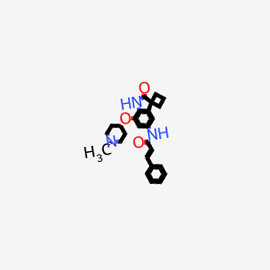 CN1CCC(Oc2cc(NC(=O)/C=C/c3ccccc3)cc3c2NC(=O)C32CCC2)CC1